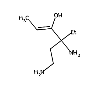 CC=C(O)C(N)(CC)CCN